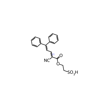 N#C/C(=C\C=C(c1ccccc1)c1ccccc1)C(=O)OCCS(=O)(=O)O